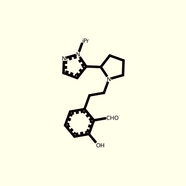 CC(C)n1nccc1C1CCCN1CCc1cccc(O)c1C=O